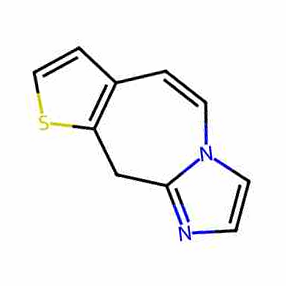 C1=Cn2ccnc2Cc2sccc21